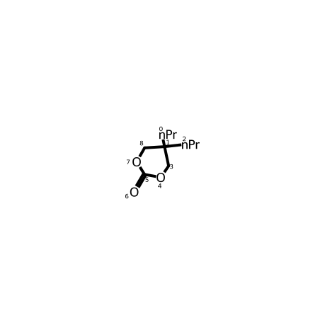 CCCC1(CCC)COC(=O)OC1